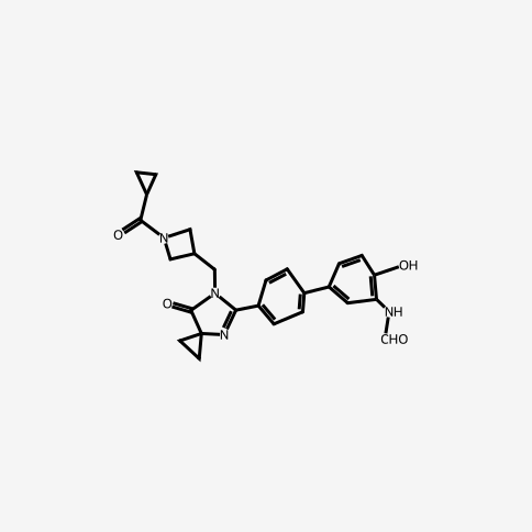 O=CNc1cc(-c2ccc(C3=NC4(CC4)C(=O)N3CC3CN(C(=O)C4CC4)C3)cc2)ccc1O